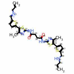 C=CC/N=C/c1ccc(-c2sc(NC(=O)CCC(=O)Nc3nc(C)c(-c4ccc(CNCC=C)s4)s3)nc2C)s1